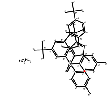 Cl.Cl.[CH2]=[Zr]([C]1=C(C)C(C(C)(C)C)=CC1C)([c]1ccc(C)cc1)([c]1ccc(C)cc1)[c]1cc(C(C)(C)C)cc2c1Cc1ccc(C(C)(C)C)cc1-2